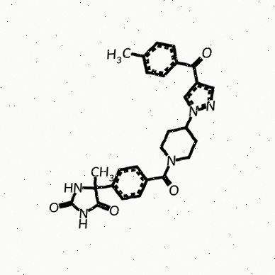 Cc1ccc(C(=O)c2cnn(C3CCN(C(=O)c4ccc(C5(C)NC(=O)NC5=O)cc4)CC3)c2)cc1